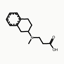 CN(CCC(=O)O)C1CCc2ccccc2C1